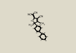 CC1=C(C#N)C(=C(C#N)C#N)OC1(C)c1ccc(-c2ccccc2)cc1